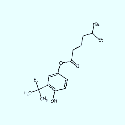 CCCCC(CC)CCCC(=O)Oc1ccc(O)c(C(C)(C)CC)c1